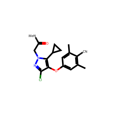 CNC(=O)Cn1nc(Cl)c(Oc2cc(C)c(C#N)c(C)c2)c1C1CC1